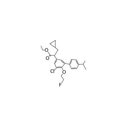 CCOC(=O)C(CC1CC1)c1cc(Cl)c(OCCF)c(-c2ccc(C(C)C)cc2)c1